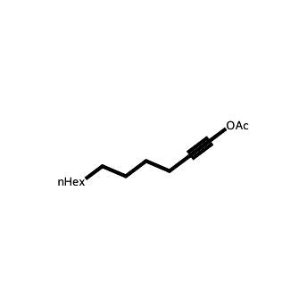 CCCCCCCCCCC#COC(C)=O